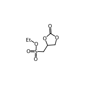 CCOS(=O)(=O)CC1COC(=O)O1